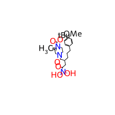 COc1ccc(CCCC(CC(=O)N(O)O)C(=O)N2CCN(C(=O)OC(C)(C)C)[C@H](C)C2)cc1